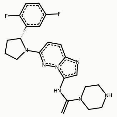 C=C(Nc1cnc2ccc(N3CCC[C@@H]3c3cc(F)ccc3F)nn12)N1CCNCC1